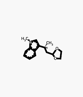 C[C@H](CC1OCCO1)c1cn(C)c2ccccc12